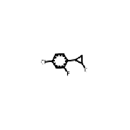 Fc1cc(Cl)ccc1C1C[C]1Cl